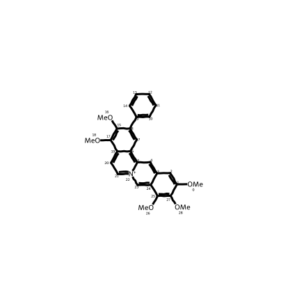 COc1cc2cc3c4cc(-c5ccccc5)c(OC)c(OC)c4cc[n+]3cc2c(OC)c1OC